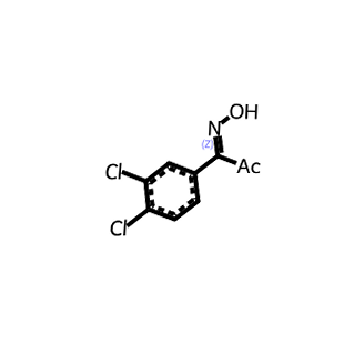 CC(=O)/C(=N\O)c1ccc(Cl)c(Cl)c1